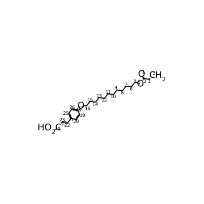 C=CC(=O)OCCCCCCCCCCCCOc1ccc(/C=C/C(=O)O)cc1